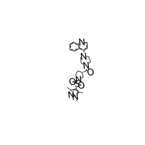 Cc1nn(C)c(C)c1S(=O)(=O)N1CC[C@@H](C(=O)N2CCN(c3ccnc4ccccc34)CC2)C1